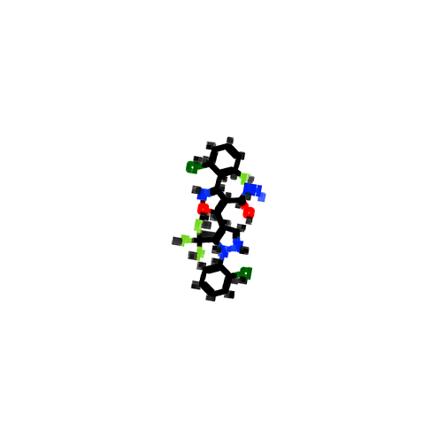 NC(=O)c1c(-c2c(F)cccc2Cl)noc1-c1cnn(-c2ccccc2Cl)c1C(F)(F)F